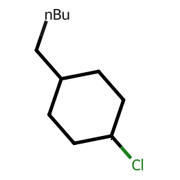 CCCCCC1CC[C](Cl)CC1